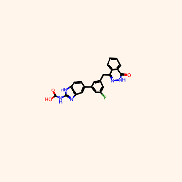 O=C(O)Nc1nc2cc(-c3cc(F)cc(Cc4n[nH]c(=O)c5ccccc45)c3)ccc2[nH]1